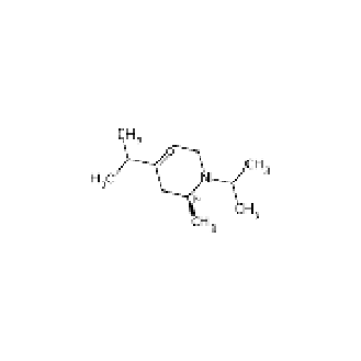 CC(C)C1=CCN(C(C)C)[C@@H](C)C1